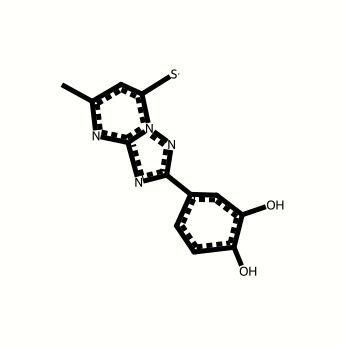 Cc1cc([S])n2nc(-c3ccc(O)c(O)c3)nc2n1